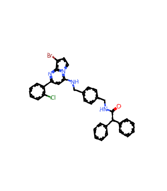 O=C(NCc1ccc(CNc2cc(-c3ccccc3Cl)nc3c(Br)ccn23)cc1)C(c1ccccc1)c1ccccc1